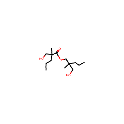 CCCC(C)(CO)COC(=O)C(C)(CO)CCC